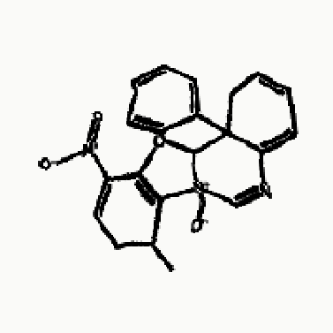 CC1CC=C([N+](=O)[O-])C2=C1[N+]1([O-])C=NC3=CC=CCC3(c3ccccc3)C1O2